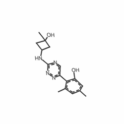 Cc1cc(C)c(-c2cnc(NC3CC(C)(O)C3)nn2)c(O)c1